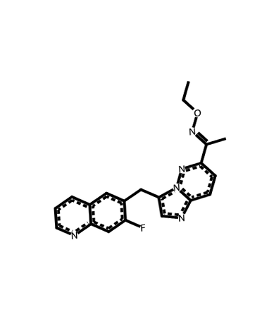 CCON=C(C)c1ccc2ncc(Cc3cc4cccnc4cc3F)n2n1